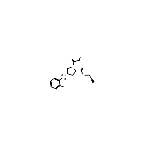 CCC(=O)N1C[C@H](S(=O)(=O)c2ccccc2Cl)C[C@H]1C(=O)NCC#N